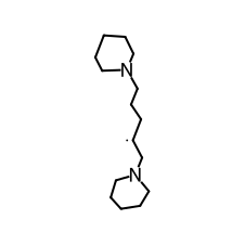 [CH](CCCN1CCCCC1)CN1CCCCC1